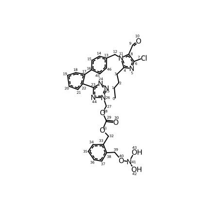 CCCCc1nc(Cl)c(C=O)n1Cc1ccc(-c2ccccc2-c2nnn(COC(=O)OCc3ccccc3CON(O)O)n2)cc1